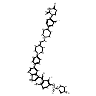 O=C1CCN(c2ccc(C3CCN(CCC4CCN(c5ccc(-c6cnc7[nH]cc(C(=O)c8c(F)ccc(N[S+]([O-])N9CCC(F)C9)c8F)c7c6)cc5)CC4)CC3)cc2F)C(=O)N1